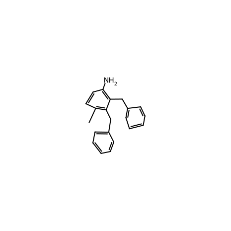 Cc1ccc(N)c(Cc2ccccc2)c1Cc1ccccc1